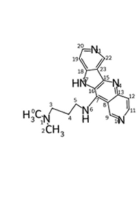 CN(C)CCCNc1c2cnccc2nc2c1[nH]c1ccncc12